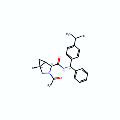 CC(=O)N1C[C@@H]2CC2[C@H]1C(=O)N[C@@H](c1ccccc1)c1ccc(C(C)C)cc1